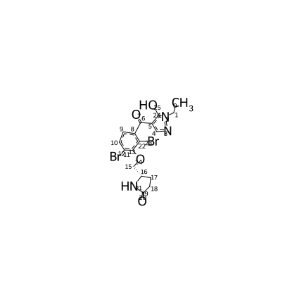 CCn1ncc(C(=O)c2ccc(Br)c(OC[C@@H]3CCC(=O)N3)c2Br)c1O